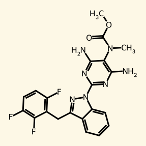 COC(=O)N(C)c1c(N)nc(-n2nc(Cc3c(F)ccc(F)c3F)c3ccccc32)nc1N